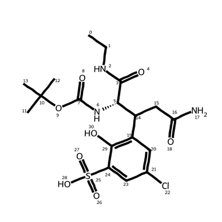 CCNC(=O)[C@@H](NC(=O)OC(C)(C)C)C(CC(N)=O)c1cc(Cl)cc(S(=O)(=O)O)c1O